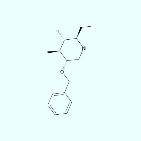 CC[C@H]1NC[C@H](OCc2ccccc2)[C@@H](C)[C@@H]1C